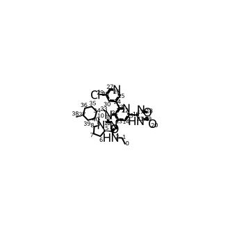 CCNC(=O)[C@H]1CCC[N+]1(C)c1nc2cc(-c3noc(=O)[nH]3)nc(-c3cncc(Cl)c3)c2n1C[C@H]1CC[C@H](C)CC1